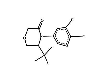 CC(C)(C)C1COCC(=O)N1c1ccc(F)c(F)c1